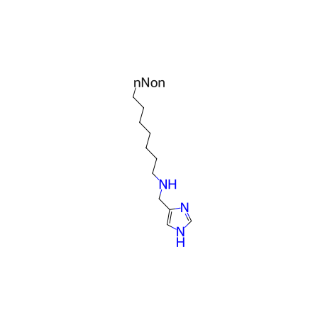 CCCCCCCCCCCCCCCCNCc1c[nH]cn1